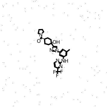 Cc1cc(Nc2nccc(C(F)(F)F)n2)cc(-n2cnc([C@]3(O)CC[C@@H](C(=O)N4CCCC4)CC3)c2)c1